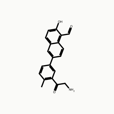 Cc1ccc(-c2ccc3c(C=O)c(O)ccc3c2)cc1C(=O)CN